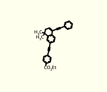 CCOC(=O)c1ccc(C#Cc2ccc3c(c2)C(C)(C)CC=C3C#Cc2ccccc2)cc1